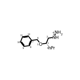 CCC[C@@H](CNN)OCc1ccccc1